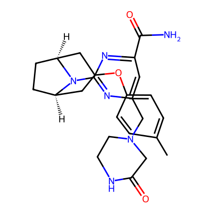 Cc1ccc(OC2C[C@H]3CC[C@@H](C2)N3c2nc(CN3CCNC(=O)C3)cc(C(N)=O)n2)cc1